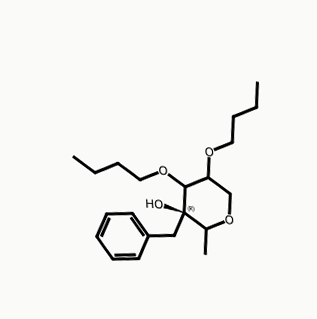 CCCCOC1COC(C)[C@](O)(Cc2ccccc2)C1OCCCC